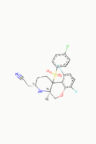 N#CC[C@@H]1CCC2(S(=O)(=O)c3ccc(Cl)cc3)c3c(F)ccc(F)c3OC[C@H]2N1